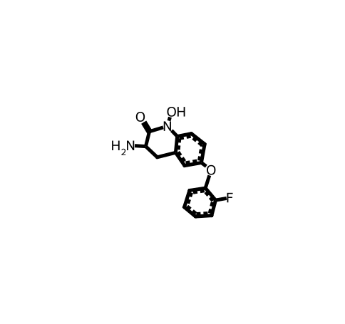 NC1Cc2cc(Oc3ccccc3F)ccc2N(O)C1=O